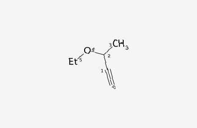 [C]#CC(C)OCC